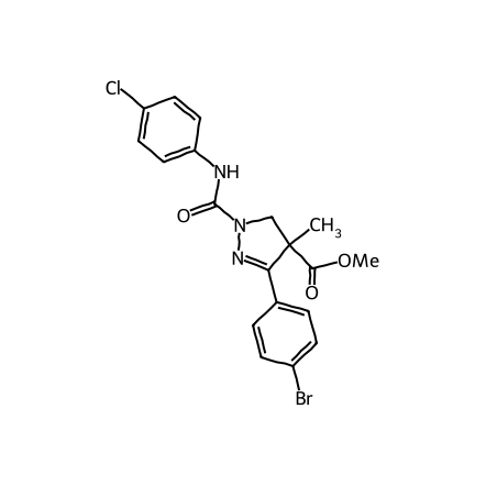 COC(=O)C1(C)CN(C(=O)Nc2ccc(Cl)cc2)N=C1c1ccc(Br)cc1